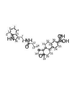 Cc1cccc2c(CCNC(=O)CCC[C@H]3CO[C@@]4(C)CCC5c6ccc(B(O)O)cc6CCC5C34)c[nH]c12